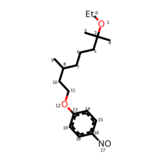 CCOC(C)(C)CCCC(C)CCOc1ccc(N=O)cc1